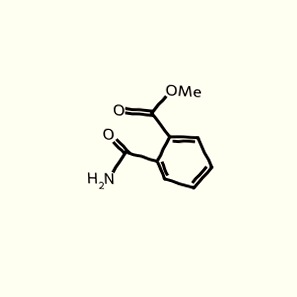 COC(=O)c1ccccc1C(N)=O